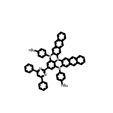 CCCCc1ccc(N2c3cc4cc5ccccc5cc4cc3B3c4cc5cc6ccccc6cc5cc4N(c4ccc(CCCC)cc4)c4cc(-c5nc(-c6ccccc6)cc(-c6ccccc6)n5)cc2c43)cc1